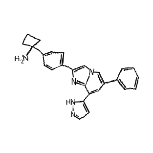 NC1(c2ccc(-c3cn4cc(-c5ccccc5)cc(-c5ccn[nH]5)c4n3)cc2)CCC1